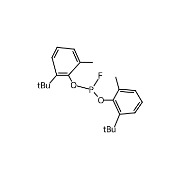 Cc1cccc(C(C)(C)C)c1OP(F)Oc1c(C)cccc1C(C)(C)C